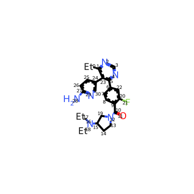 CCc1ncnc(-c2ccc(C(=O)N3CCC(N(CC)CC)C3)c(F)c2)c1-c1ccc(N)nc1